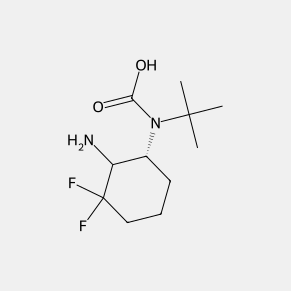 CC(C)(C)N(C(=O)O)[C@@H]1CCCC(F)(F)C1N